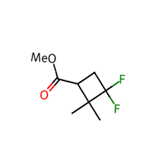 COC(=O)C1CC(F)(F)C1(C)C